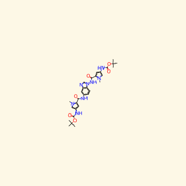 Cn1cc(NC(=O)OC(C)(C)C)cc1C(=O)Nc1ccc2c(c1)ncn2NC(=O)c1cc(NC(=O)OC(C)(C)C)cn1C